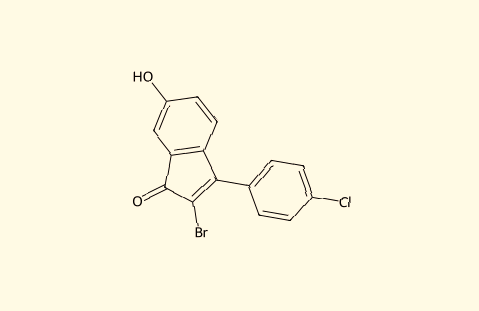 O=C1C(Br)=C(c2ccc(Cl)cc2)c2ccc(O)cc21